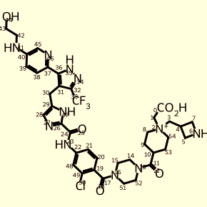 O=C(O)C[N+]1(CC2CNC2)CCC(C(=O)N2CCN(C(=O)c3ccc(NC(=O)c4ncc(Cc5c(C(F)(F)F)n[nH]c5-c5ccc(NCCO)cn5)[nH]4)cc3Cl)CC2)CC1